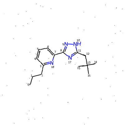 CCCc1cccc(-c2n[nH]c(CC(C)(C)C)n2)n1